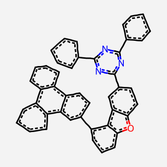 c1ccc(-c2nc(-c3ccccc3)nc(-c3ccc4oc5cccc(-c6ccc7c8ccccc8c8ccccc8c7c6)c5c4c3)n2)cc1